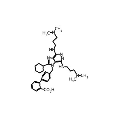 CN(C)CCCNc1nnc(NCCCN(C)C)c2c1nc(C1CCCCC1)n2Cc1ccc(-c2ccccc2C(=O)O)cc1